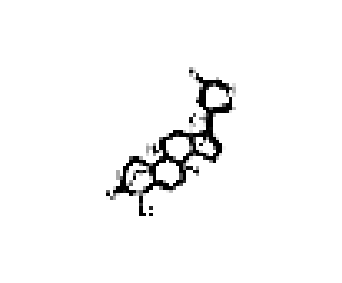 CCN1C(=O)CC[C@@]2(C)C1=CC[C@@H]1[C@@H]2CC[C@]2(C)C(c3cncc(F)c3)=CC[C@@H]12